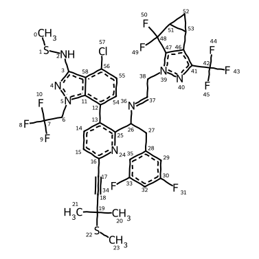 CSNc1nn(CC(F)(F)F)c2c(-c3ccc(C#CC(C)(C)SC)nc3C(Cc3cc(F)cc(F)c3)/N=C/Cn3nc(C(F)(F)F)c4c3C(F)(F)C3CC43)ccc(Cl)c12